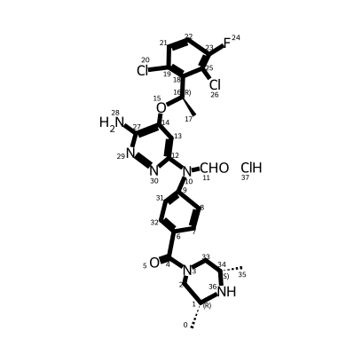 C[C@@H]1CN(C(=O)c2ccc(N(C=O)c3cc(O[C@H](C)c4c(Cl)ccc(F)c4Cl)c(N)nn3)cc2)C[C@H](C)N1.Cl